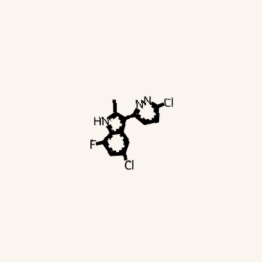 Cc1[nH]c2c(F)cc(Cl)cc2c1-c1ccc(Cl)nn1